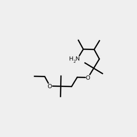 CCOC(C)(C)CCOC(C)(C)CC(C)C(C)N